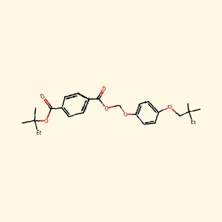 CCC(C)(C)COc1ccc(OCOC(=O)c2ccc(C(=O)OC(C)(C)CC)cc2)cc1